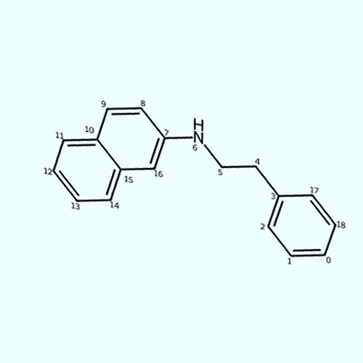 c1ccc(CCNc2ccc3ccccc3c2)cc1